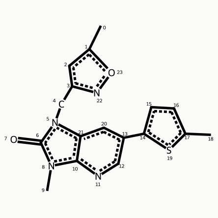 Cc1cc(Cn2c(=O)n(C)c3ncc(-c4ccc(C)s4)cc32)no1